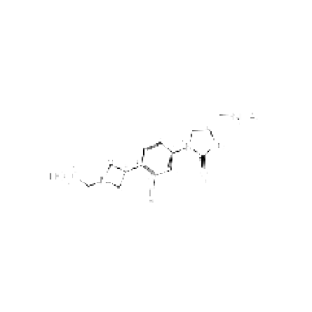 CC(=O)NC[C@H]1CN(c2ccc(C3CN(CC(=O)O)C3)c(F)c2)C(=O)O1